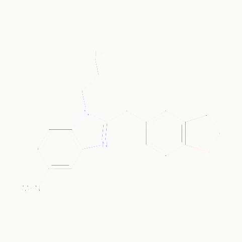 CNc1ccc2c(c1)nc(Cc1ccc3c(c1)CCO3)n2CCC(C)C